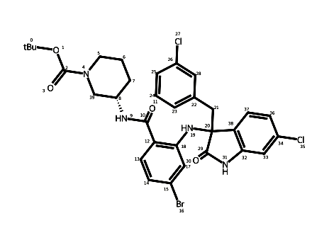 CC(C)(C)OC(=O)N1CCC[C@H](NC(=O)c2ccc(Br)cc2NC2(Cc3cccc(Cl)c3)C(=O)Nc3cc(Cl)ccc32)C1